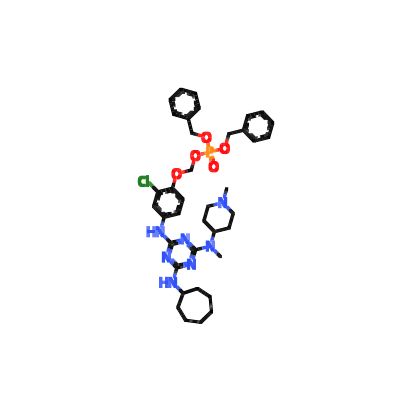 CN1CCC(N(C)c2nc(Nc3ccc(OCOP(=O)(OCc4ccccc4)OCc4ccccc4)c(Cl)c3)nc(NC3CCCCCC3)n2)CC1